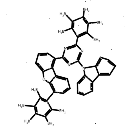 Bc1c(B)c(B)c(-c2nc(-c3cccc4oc5c(-c6c(B)c(B)c(B)c(B)c6B)cccc5c34)nc(-n3c4ccccc4c4ccccc43)n2)c(B)c1B